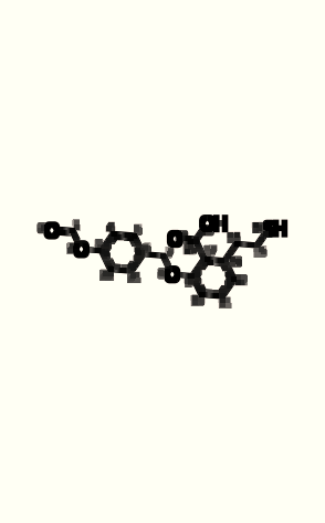 O=COc1ccc(COc2cccc(CCS)c2C(=O)O)cc1